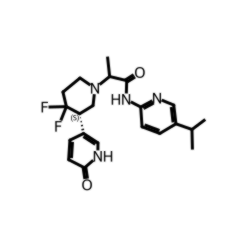 CC(C)c1ccc(NC(=O)C(C)N2CCC(F)(F)[C@@H](c3ccc(=O)[nH]c3)C2)nc1